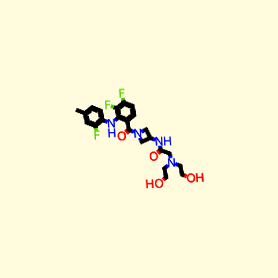 Cc1ccc(Nc2c(C(=O)N3CC(NC(=O)CN(CCO)CCO)C3)ccc(F)c2F)c(F)c1